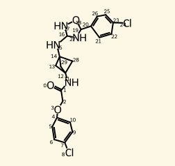 O=C(COc1ccc(Cl)cc1)NC12CC(NC3NOC(c4ccc(Cl)cc4)N3)(C1)C2